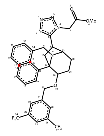 COC(=O)Cn1nnnc1C1CC2(c3ccccc3)C(OCc3cc(C(F)(F)F)cc(C(F)(F)F)c3)CCC1N2Cc1ccccc1